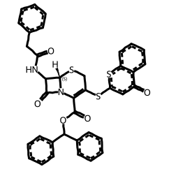 O=C(Cc1ccccc1)NC1C(=O)N2C(C(=O)OC(c3ccccc3)c3ccccc3)=C(Sc3cc(=O)c4ccccc4s3)CS[C@@H]12